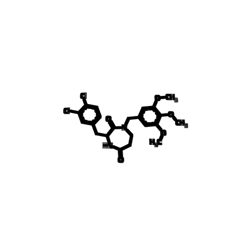 COc1cc(CN2CCC(=O)NC(Cc3ccc(Cl)c(Cl)c3)C2=O)cc(OC)c1OC